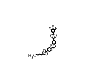 CCCCCC1COC(C2CCC(C(F)(F)OC3CCC(C4COC(c5cc(F)c(F)c(F)c5)OC4)CC3)CC2)OC1